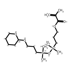 C=C(C)C(=O)OCCC[Si](C)(C)O[Si](C)(C)CCCOC1CCCCO1